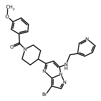 COc1cccc(C(=O)N2CCC(c3cc(NCc4cccnc4)n4ncc(Br)c4n3)CC2)c1